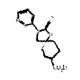 CCOC(=O)[C@H]1CC[C@]2(CC1)CN(c1cccnn1)C(=O)O2